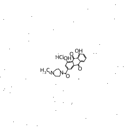 CCN1CCN(C(=O)c2cc(O)c3c(c2)C(=O)c2cccc(O)c2C3=O)CC1.Cl